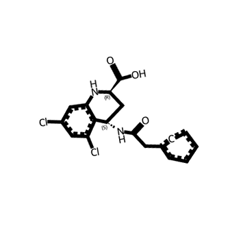 O=C(Cc1ccccc1)N[C@H]1C[C@H](C(=O)O)Nc2cc(Cl)cc(Cl)c21